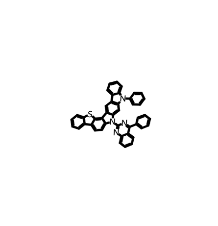 c1ccc(-c2nc(-n3c4cc5c(cc4c4c6sc7ccccc7c6ccc43)c3ccccc3n5-c3ccccc3)nc3ccccc23)cc1